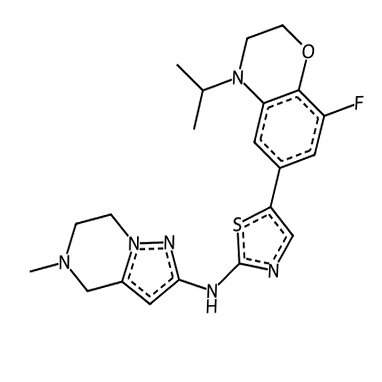 CC(C)N1CCOc2c(F)cc(-c3cnc(Nc4cc5n(n4)CCN(C)C5)s3)cc21